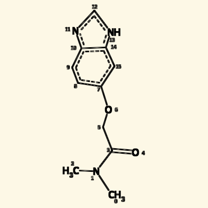 CN(C)C(=O)COc1ccc2nc[nH]c2c1